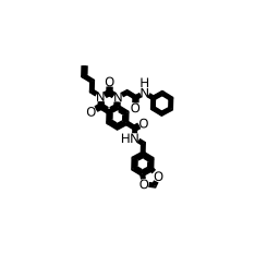 C=CCCn1c(=O)c2ccc(C(=O)NCc3ccc4c(c3)OCO4)cc2n(CC(=O)NC2CCCCC2)c1=O